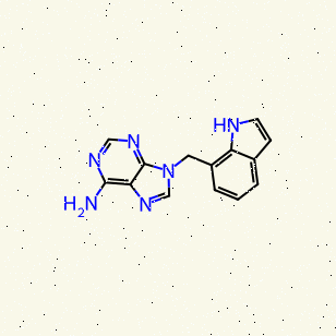 Nc1ncnc2c1ncn2Cc1cccc2cc[nH]c12